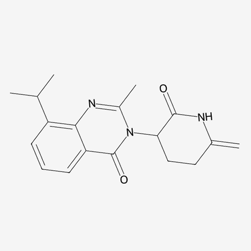 C=C1CCC(n2c(C)nc3c(C(C)C)cccc3c2=O)C(=O)N1